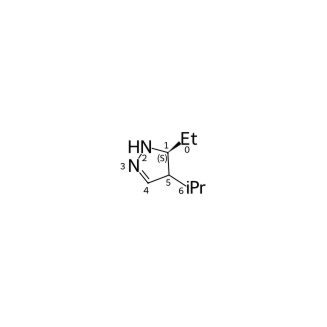 CC[C@@H]1NN=CC1C(C)C